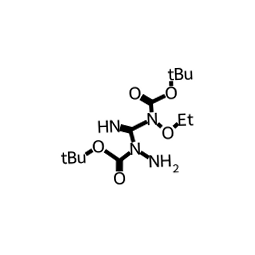 CCON(C(=N)N(N)C(=O)OC(C)(C)C)C(=O)OC(C)(C)C